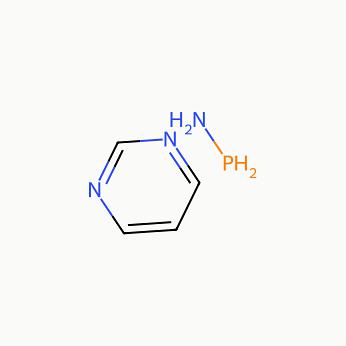 NP.c1cncnc1